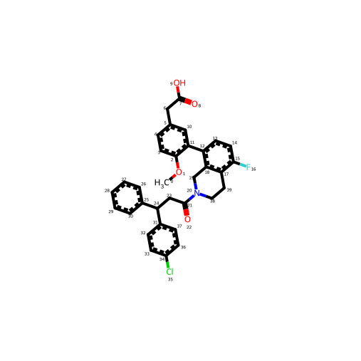 COc1ccc(CC(=O)O)cc1-c1ccc(F)c2c1CN(C(=O)CC(c1ccccc1)c1ccc(Cl)cc1)CC2